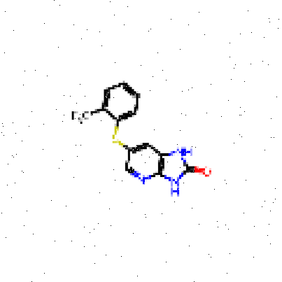 O=c1[nH]c2cc(Sc3ccccc3C(F)(F)F)cnc2[nH]1